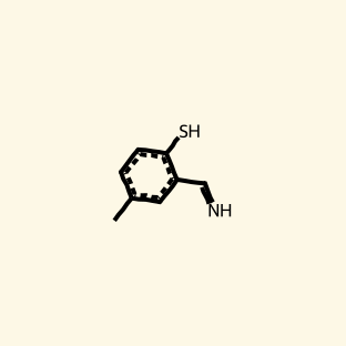 Cc1ccc(S)c(C=N)c1